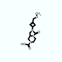 COCC12CC(N3CC4CN(C(=O)O)CCN4C3=O)(C1)C2